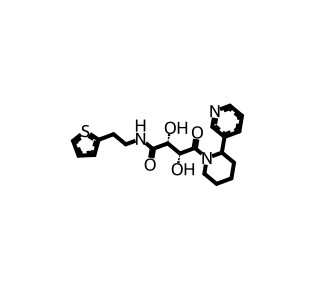 O=C(NCCc1cccs1)[C@H](O)[C@@H](O)C(=O)N1CCCCC1c1cccnc1